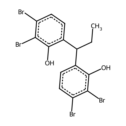 CCC(c1ccc(Br)c(Br)c1O)c1ccc(Br)c(Br)c1O